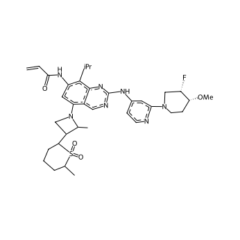 C=CC(=O)Nc1cc(N2CC(C3CCCC(C)S3(=O)=O)C2C)c2cnc(Nc3ccnc(N4CC[C@@H](OC)[C@@H](F)C4)c3)nc2c1C(C)C